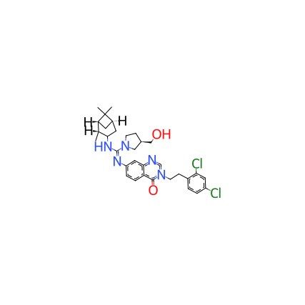 C[C@H]1C(NC(=Nc2ccc3c(=O)n(CCc4ccc(Cl)cc4Cl)cnc3c2)N2CC[C@@H](CO)C2)C[C@H]2C[C@H]1C2(C)C